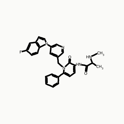 CNC(C)C(=O)Nc1ccc(-c2ccccc2)n(Cc2cncc(-n3ccc4cc(F)ccc43)c2)c1=O